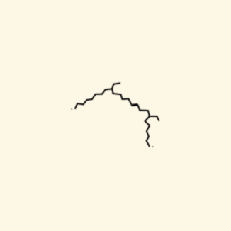 [CH2]CCCCCCCC(CC)CCCCC=CCCC(CC)CCCCC[CH2]